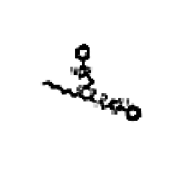 CCCCCCCCCC(OC(=O)Cc1c[nH]c(-c2ccccc2)n1)OC(=O)Cc1c[nH]c(-c2ccccc2)n1